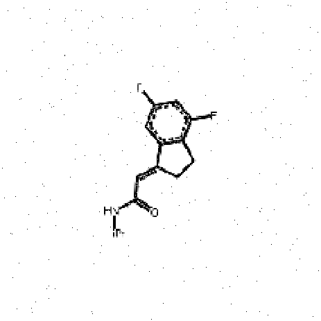 CC(C)NC(=O)/C=C1\CCc2c(F)cc(F)cc21